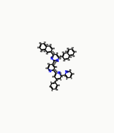 c1ccc(-c2cc(-c3ccccn3)nc(-c3cc(-c4nc(-c5ccc6ccccc6c5)cc(-c5ccc6ccccc6c5)n4)ccn3)c2)cc1